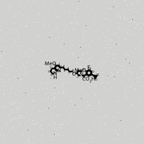 COc1cc(CCCCCO[C@@H]2CCN([C@@H](C(=O)O)c3cc(C4CC4)cc(F)c3OC)C2)nc2c1CCCN2